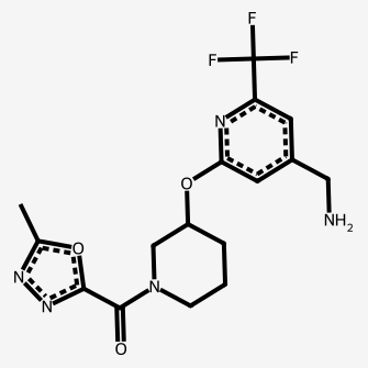 Cc1nnc(C(=O)N2CCCC(Oc3cc(CN)cc(C(F)(F)F)n3)C2)o1